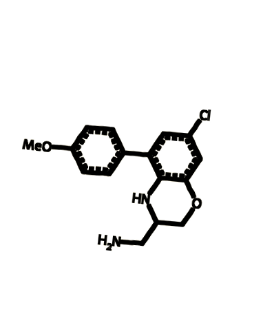 COc1ccc(-c2cc(Cl)cc3c2NC(CN)CO3)cc1